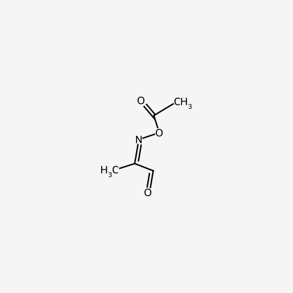 CC(=O)ON=C(C)C=O